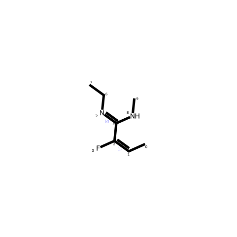 C/C=C(F)\C(=N\CC)NC